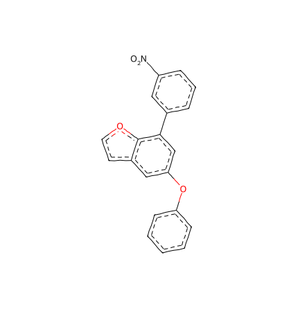 O=[N+]([O-])c1cccc(-c2cc(Oc3ccccc3)cc3ccoc23)c1